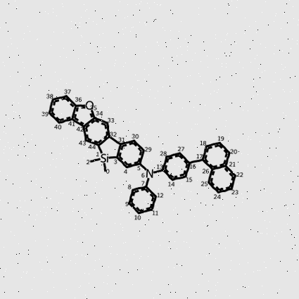 C[Si]1(C)c2cc(N(c3ccccc3)c3ccc(-c4cccc5ccccc45)cc3)ccc2-c2cc3oc4ccccc4c3cc21